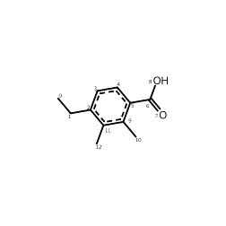 CCc1ccc(C(=O)O)c(C)c1C